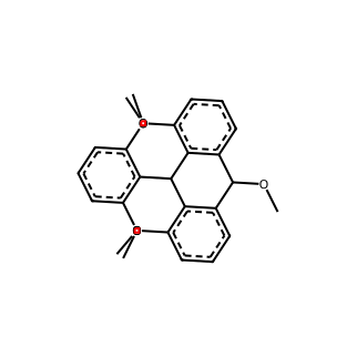 COc1cccc(OC)c1C1c2c(OC)cccc2C(OC)c2cccc(OC)c21